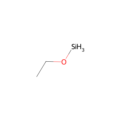 CCO[SiH3]